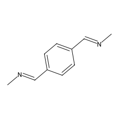 C/N=C/c1ccc(/C=N/C)cc1